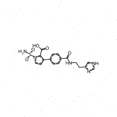 NS(=O)(=O)n1ccc(-c2ccc(C(=O)NCCc3c[nH]cn3)cc2)c1C(=O)O